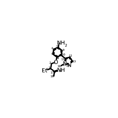 CCC(COc1ccc(N)cc1-c1ccnn1C)C(C)=N